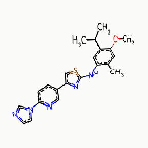 COc1cc(C)c(Nc2nc(-c3ccc(-n4ccnc4)nc3)cs2)cc1C(C)C